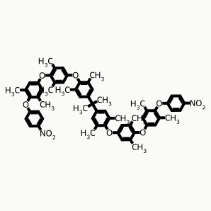 Cc1cc(Oc2c(C)cc(Oc3c(C)cc(C(C)(C)c4cc(C)c(Oc5cc(C)c(Oc6cc(C)c(Oc7ccc([N+](=O)[O-])cc7)c(C)c6)c(C)c5)c(C)c4)cc3C)cc2C)cc(C)c1Oc1ccc([N+](=O)[O-])cc1